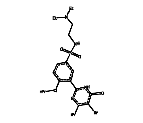 CCCOc1ccc(S(=O)(=O)NCCN(CC)CC)cc1-c1nc(C(C)C)c(Br)c(=O)[nH]1